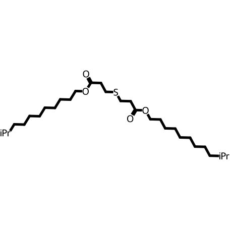 CC(C)CCCCCCCCCOC(=O)CCSCCC(=O)OCCCCCCCCCC(C)C